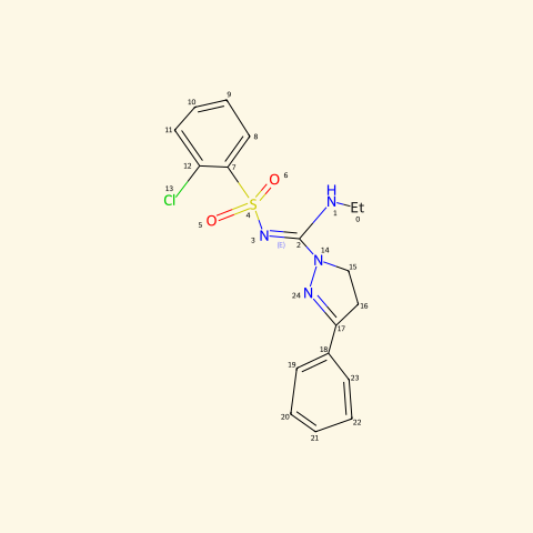 CCN/C(=N\S(=O)(=O)c1ccccc1Cl)N1CCC(c2ccccc2)=N1